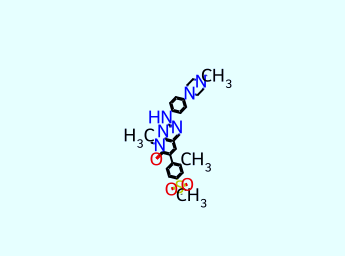 CCn1c(=O)c(-c2ccc(S(C)(=O)=O)cc2C)cc2cnc(Nc3ccc(N4CCN(C)CC4)cc3)nc21